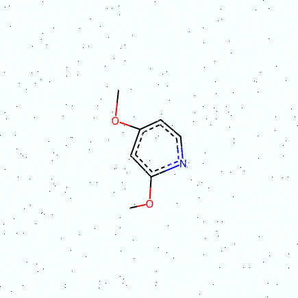 COc1ccnc(OC)c1